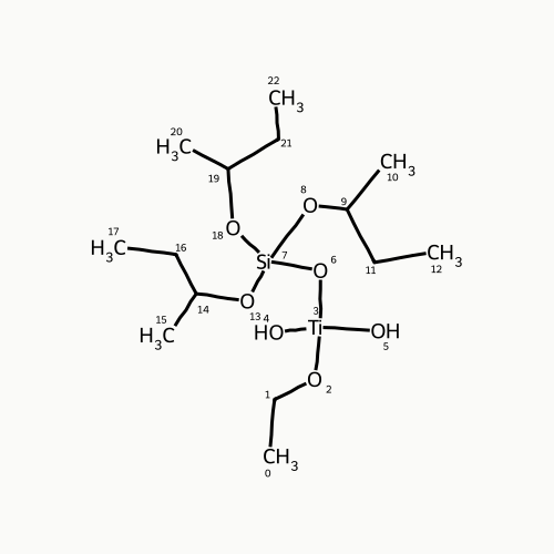 CC[O][Ti]([OH])([OH])[O][Si](OC(C)CC)(OC(C)CC)OC(C)CC